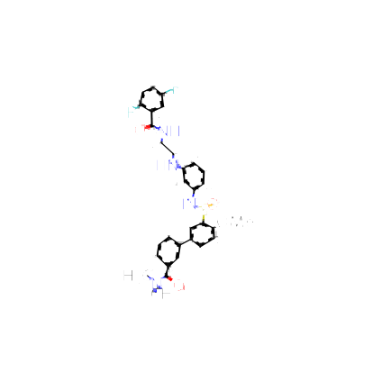 COc1ccc(-c2cccc(C(=O)N(C)C)c2)cc1[S+]([O-])Nc1cccc(NCCNC(=O)c2cc(F)ccc2F)c1